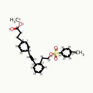 COC(=O)CCc1ccc(C#Cc2ccccc2CCOS(=O)(=O)c2ccc(C)cc2)cc1